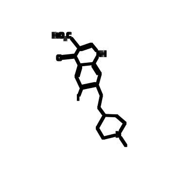 CCOC(=O)c1c[nH]c2cc(CCC3CCN(C)CC3)c(I)cc2c1=O